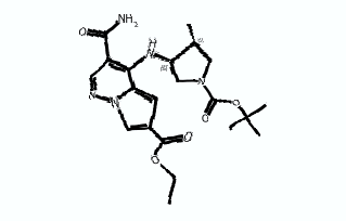 CCOC(=O)c1cc2c(N[C@@H]3CN(C(=O)OC(C)(C)C)C[C@@H]3C)c(C(N)=O)cnn2c1